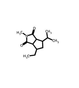 CCC1CC(C(C)C)C2C(=O)N(C)C(=O)C12